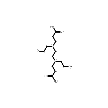 O=C(O)CCN(CCO)CCN(CCO)CCC(=O)O